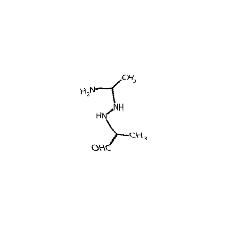 CC(N)NNC(C)C=O